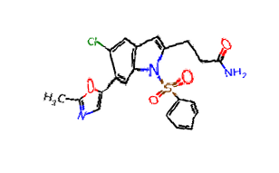 Cc1ncc(-c2cc3c(cc2Cl)cc(CCC(N)=O)n3S(=O)(=O)c2ccccc2)o1